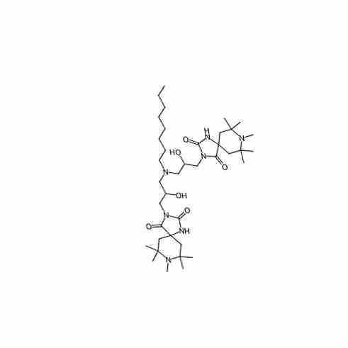 CCCCCCCCN(CC(O)CN1C(=O)NC2(CC(C)(C)N(C)C(C)(C)C2)C1=O)CC(O)CN1C(=O)NC2(CC(C)(C)N(C)C(C)(C)C2)C1=O